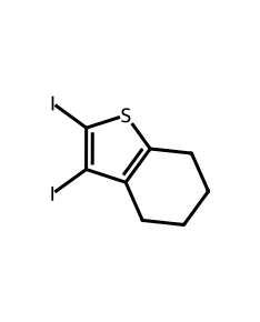 Ic1sc2c(c1I)CCCC2